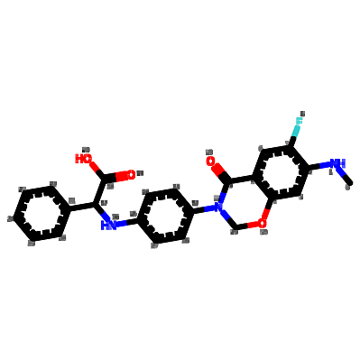 CNc1cc2c(cc1F)C(=O)N(c1ccc(NC(C(=O)O)c3ccccc3)cc1)CO2